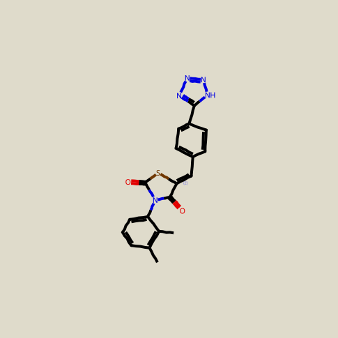 Cc1cccc(N2C(=O)S/C(=C\c3ccc(-c4nnn[nH]4)cc3)C2=O)c1C